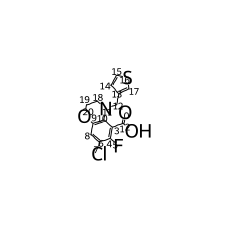 O=C(O)c1c(F)c(Cl)cc2c1N(Cc1ccsc1)CCO2